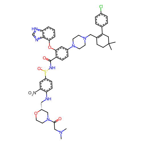 CN(C)CC(=O)N1CCO[C@H](CNc2ccc([S+]([O-])NC(=O)c3ccc(N4CCN(CC5=C(c6ccc(Cl)cc6)CC(C)(C)CC5)CC4)cc3Oc3cccc4[nH]cnc34)cc2[N+](=O)[O-])C1